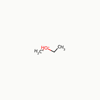 [CH2-][OH+]CC